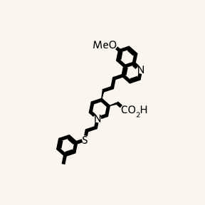 COc1ccc2nccc(CCC[C@@H]3CCN(CCSc4cccc(C)c4)C[C@@H]3CC(=O)O)c2c1